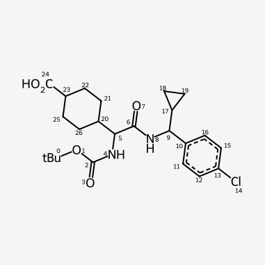 CC(C)(C)OC(=O)NC(C(=O)NC(c1ccc(Cl)cc1)C1CC1)C1CCC(C(=O)O)CC1